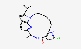 CC(C)c1cc2ccc3nc2n1CCCCCc1nc(Cl)ccc1C(=O)NC3C